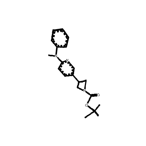 CN(c1ccccc1)c1ccc(C2CN(C(=O)OC(C)(C)C)C2)cn1